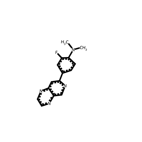 CN(C)c1ccc(-c2cc3nccnc3cn2)cc1F